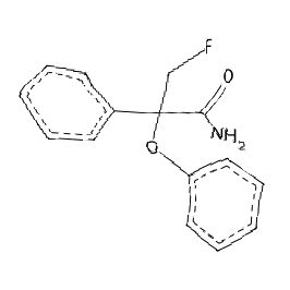 NC(=O)C(CF)(Oc1ccccc1)c1ccccc1